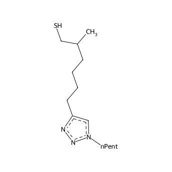 CCCCCn1cc(CCCCC(C)CS)nn1